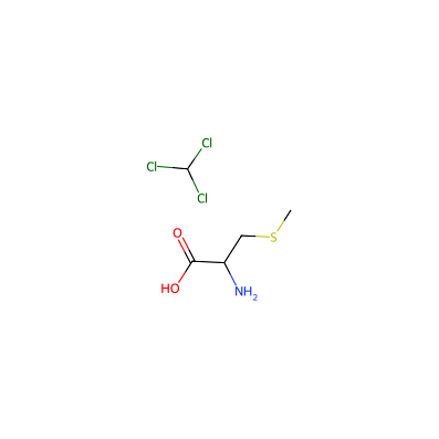 CSCC(N)C(=O)O.ClC(Cl)Cl